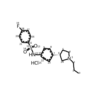 CCCN1CC[C@@H](c2ccc(NS(=O)(=O)c3ccc(F)cc3)cc2)C1.Cl